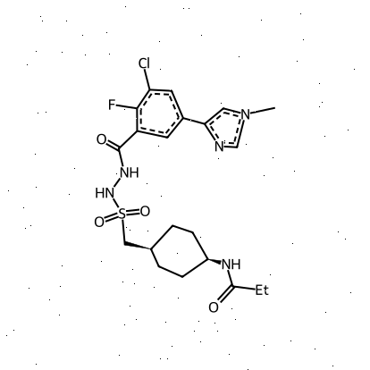 CCC(=O)N[C@H]1CC[C@@H](CS(=O)(=O)NNC(=O)c2cc(-c3cn(C)cn3)cc(Cl)c2F)CC1